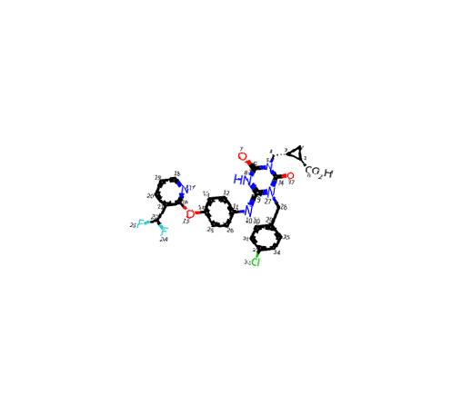 O=C(O)[C@@H]1C[C@H]1Cn1c(=O)[nH]/c(=N\c2ccc(Oc3ncccc3C(F)F)cc2)n(Cc2ccc(Cl)cc2)c1=O